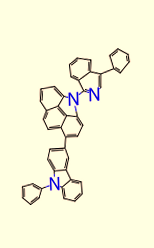 c1ccc(-c2cnc(-n3c4cccc5ccc6c(-c7ccc8c(c7)c7ccccc7n8-c7ccccc7)ccc3c6c54)c3ccccc23)cc1